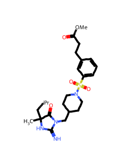 COC(=O)CCc1cccc(S(=O)(=O)N2CCC(CN3C(=N)NC(C)(CC(C)C)C3=O)CC2)c1